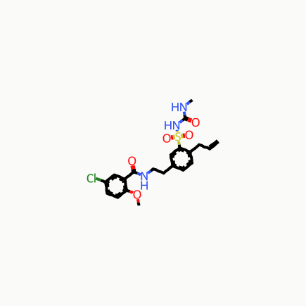 C=CCc1ccc(CCNC(=O)c2cc(Cl)ccc2OC)cc1S(=O)(=O)NC(=O)NC